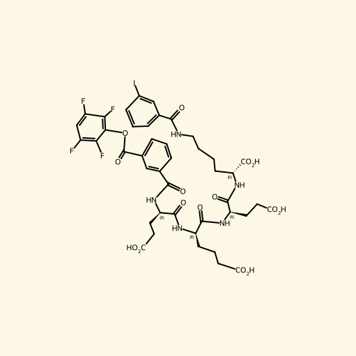 O=C(O)CCC[C@@H](NC(=O)[C@@H](CCC(=O)O)NC(=O)c1cccc(C(=O)Oc2c(F)c(F)cc(F)c2F)c1)C(=O)N[C@H](CCC(=O)O)C(=O)N[C@H](CCCCNC(=O)c1cccc(I)c1)C(=O)O